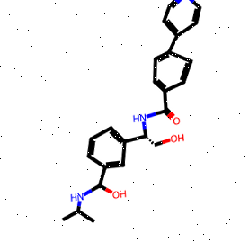 CC(C)NC(O)c1cccc([C@@H](CO)NC(=O)c2ccc(-c3ccncc3)cc2)c1